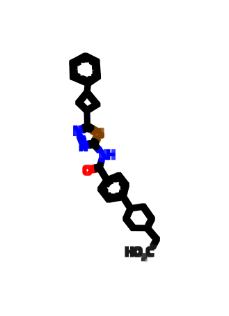 O=C(O)CC1CCC(c2ccc(C(=O)Nc3nnc(C4CC(c5ccccc5)C4)s3)cc2)CC1